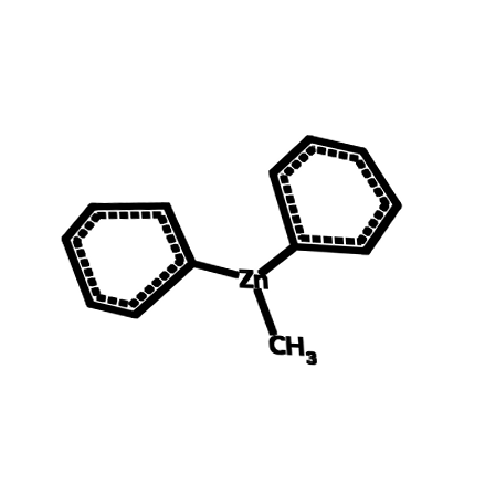 [CH3][Zn]([c]1ccccc1)[c]1ccccc1